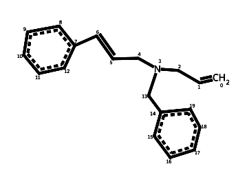 C=CCN(C/C=C/c1ccccc1)Cc1ccccc1